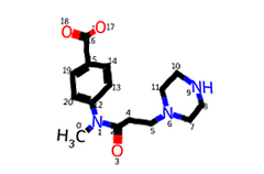 CN(C(=O)CCN1CCNCC1)c1ccc(C([O])=O)cc1